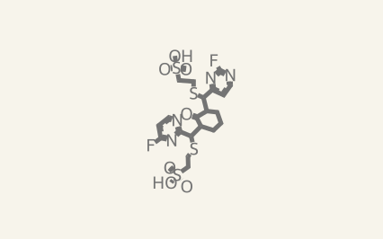 O=C1C(C(SCCS(=O)(=O)O)c2ccnc(F)n2)CCCC1C(SCCS(=O)(=O)O)c1nccc(F)n1